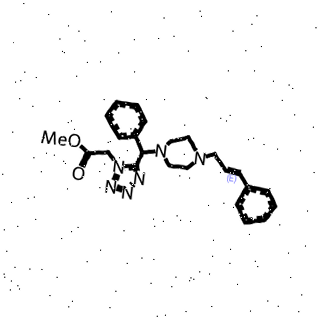 COC(=O)Cn1nnnc1C(c1ccccc1)N1CCN(C/C=C/c2ccccc2)CC1